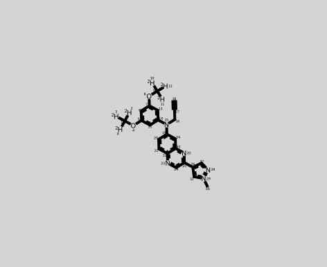 [2H]C([2H])([2H])Oc1cc(OC([2H])([2H])[2H])cc(N(CC#C)c2ccc3ncc(-c4cnn(C)c4)nc3c2)c1